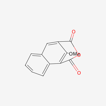 COc1c2cc3ccccc3c1C(=O)OC2=O